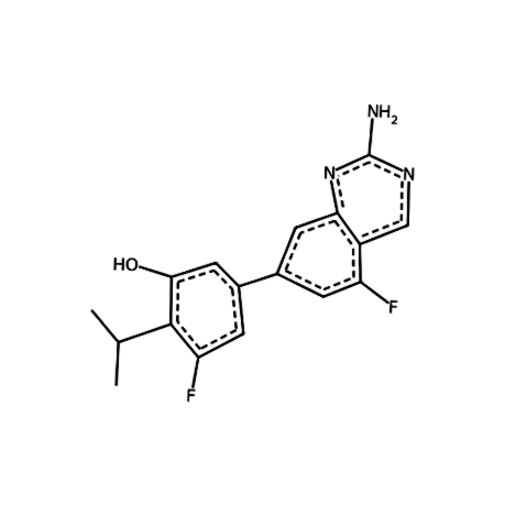 CC(C)c1c(O)cc(-c2cc(F)c3cnc(N)nc3c2)cc1F